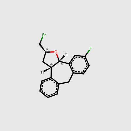 Fc1ccc2c(c1)[C@H]1O[C@H](CBr)C[C@H]1c1ccccc1C2